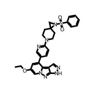 CCOc1cc(-c2ccc(N3CCC4(CC3)CN4S(=O)(=O)c3ccccc3)nc2)c2c3cn[nH]c3nn2c1